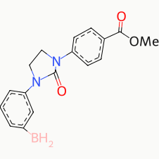 Bc1cccc(N2CCN(c3ccc(C(=O)OC)cc3)C2=O)c1